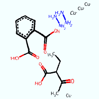 CCC(C(C)=O)C(=O)O.NN.NN.O=C(O)c1ccccc1C(=O)O.[Cu].[Cu].[Cu].[Cu]